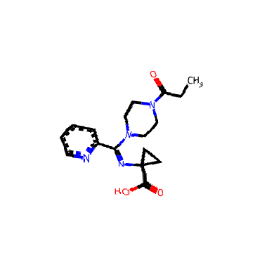 CCC(=O)N1CCN(C(=NC2(C(=O)O)CC2)c2ccccn2)CC1